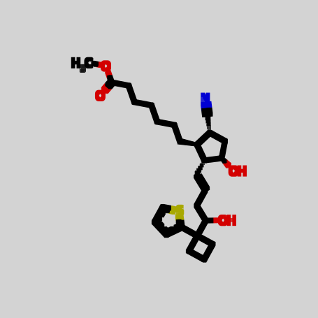 COC(=O)CCCCCC[C@@H]1[C@@H](C=CCC(O)C2(c3cccs3)CCC2)[C@H](O)C[C@H]1C#N